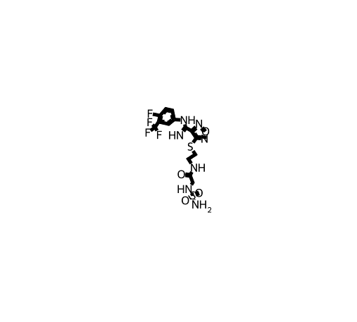 N=C(Nc1ccc(F)c(C(F)(F)F)c1)c1nonc1SCCNC(=O)CNS(N)(=O)=O